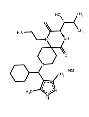 CCCN1C(=O)[C@@H]([C@H](O)C(C)C)NC(=O)C12CCN(C(c1c(C)n[nH]c1C)C1CCCCC1)CC2.Cl